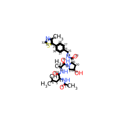 CC(=O)NC(CC(C)C)C(=O)NC(C)C(=O)N1C[C@H](O)C[C@H]1C(=O)NCc1ccc(-c2scnc2C)cc1